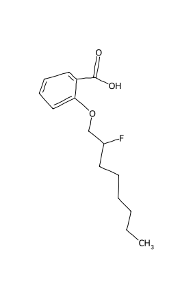 CCCCCCC(F)COc1ccccc1C(=O)O